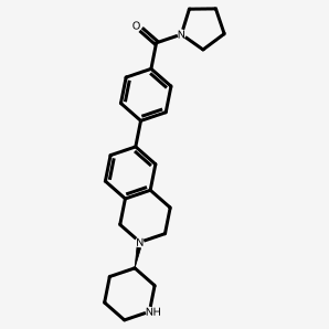 O=C(c1ccc(-c2ccc3c(c2)CCN([C@@H]2CCCNC2)C3)cc1)N1CCCC1